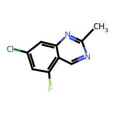 Cc1ncc2c(F)cc(Cl)cc2n1